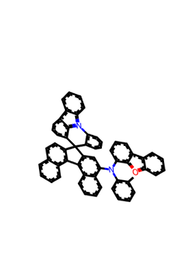 Cc1ccccc1N(c1cc2c(c3ccccc13)-c1c(ccc3ccccc13)C21c2ccccc2-n2c3ccccc3c3cccc1c32)c1cccc2c1oc1ccccc12